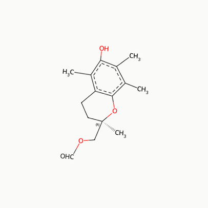 Cc1c(C)c2c(c(C)c1O)CC[C@](C)(COC=O)O2